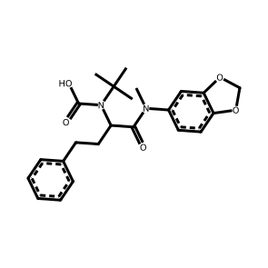 CN(C(=O)C(CCc1ccccc1)N(C(=O)O)C(C)(C)C)c1ccc2c(c1)OCO2